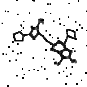 Cc1nc2c(C3CCC3)cc(CCc3nc(N4CCCC4)nn3C)nn2c1C